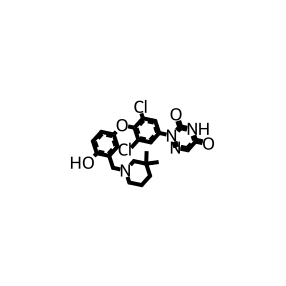 CC1(C)CCCN(Cc2cc(Oc3c(Cl)cc(-n4ncc(=O)[nH]c4=O)cc3Cl)ccc2O)C1